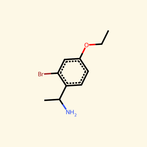 CCOc1ccc(C(C)N)c(Br)c1